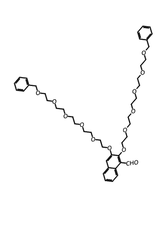 O=Cc1c(OCCOCCOCCOCCOCCOCc2ccccc2)c(OCCOCCOCCOCCOCCOCc2ccccc2)cc2ccccc12